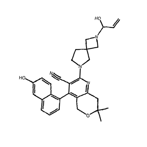 C=CC(O)N1CC2(CCN(c3nc4c(c(-c5cccc6cc(O)ccc56)c3C#N)COC(C)(C)C4)C2)C1